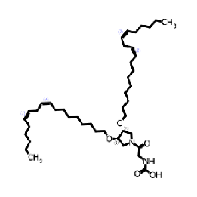 CCCCC/C=C\C/C=C\CCCCCCCCO[C@@H]1CN(C(=O)CNC(=O)O)C[C@H]1OCCCCCCCC/C=C\C/C=C\CCCCC